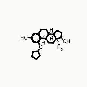 C[C@]12CC[C@@H]3c4c(cc(O)cc4OC4CCCC4)CC[C@H]3[C@@H]1CC[C@H]2O